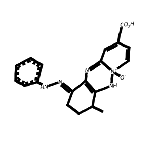 CC1CCC(=NNc2ccccc2)C2=C1N[N+]1([O-])C=CC(C(=O)O)=CC1=N2